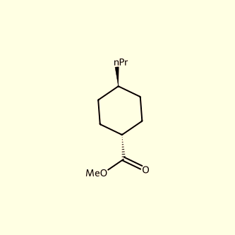 CCC[C@H]1CC[C@H](C(=O)OC)CC1